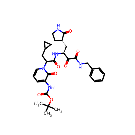 CC(C)(C)OC(=O)Nc1cccn(C(CC2CC2)C(=O)N[C@@H](C[C@@H]2CCNC2=O)C(=O)C(=O)NCc2ccccc2)c1=O